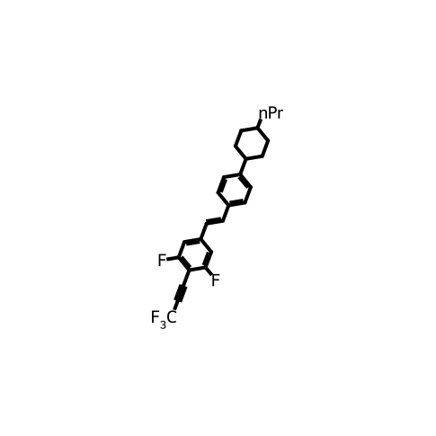 CCCC1CCC(c2ccc(/C=C/c3cc(F)c(C#CC(F)(F)F)c(F)c3)cc2)CC1